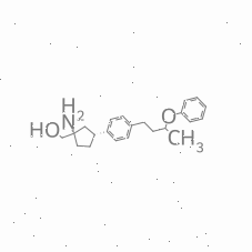 CC(CCc1ccc([C@@H]2CC[C@](N)(CO)C2)cc1)Oc1ccccc1